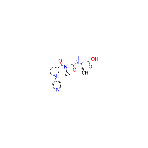 C#CC(CC(=O)O)NC(=O)CN(C(=O)C1CCCN(c2ccncc2)C1)C1CC1